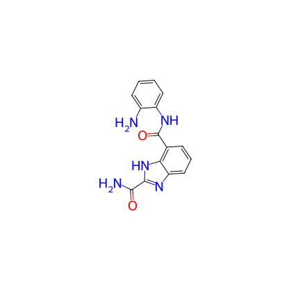 NC(=O)c1nc2cccc(C(=O)Nc3ccccc3N)c2[nH]1